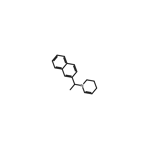 CC(c1ccc2ccccc2c1)N1C=CCCC1